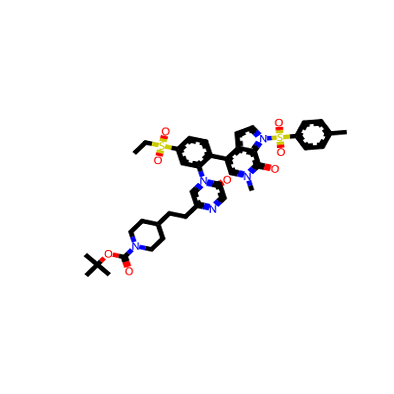 CCS(=O)(=O)c1ccc(-c2cn(C)c(=O)c3c2ccn3S(=O)(=O)c2ccc(C)cc2)c(-n2cc(CCC3CCN(C(=O)OC(C)(C)C)CC3)ncc2=O)c1